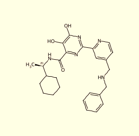 C[C@@H](NC(=O)c1nc(-c2cc(CNCc3ccccc3)ccn2)nc(O)c1O)C1CCCCC1